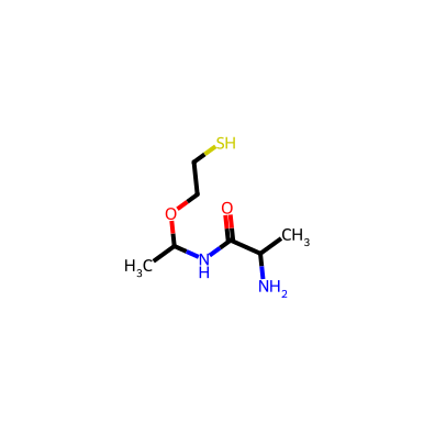 CC(NC(=O)C(C)N)OCCS